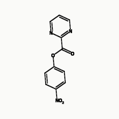 O=C(Oc1ccc([N+](=O)[O-])cc1)c1ncccn1